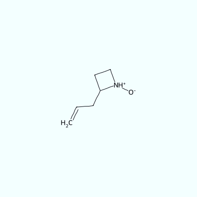 C=CCC1CC[NH+]1[O-]